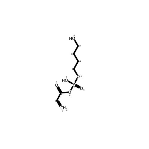 C=CC(=O)OP(=O)(O)OCCCCO